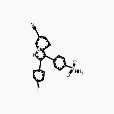 N#Cc1ccc2c(-c3ccc(S(N)(=O)=O)cc3)c(-c3ccc(F)cc3)nn2c1